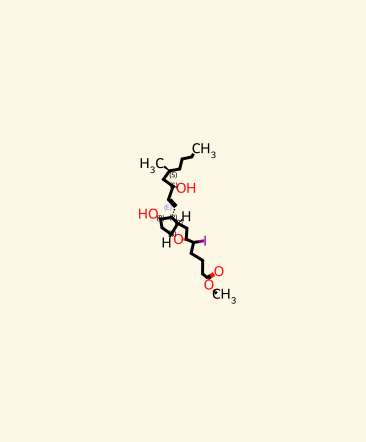 CCCC[C@H](C)C[C@H](O)/C=C/[C@@H]1[C@H]2CC(C(I)CCCC(=O)OC)O[C@@H]2C[C@H]1O